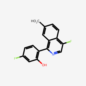 O=C(O)c1ccc2c(F)cnc(-c3ccc(F)cc3O)c2c1